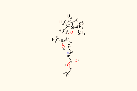 CCOC(=O)/C=C/c1cc(CO[Si](C(C)C)(C(C)C)C(C)C)c(C)o1